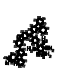 Bc1c(B)c(B)c(-c2ccc(N(c3ccc4c(c3)C3(CCCCC3)c3ccccc3-4)c3ccc4oc5ccc(-c6ccc7c(c6)[C@@]6(CCC89C[C@@H]8C[C@@H]6C9)c6ccccc6-7)cc5c4c3)cc2)c(B)c1B